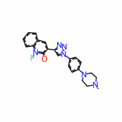 CN1CCN(c2ccc(-n3cc(-c4cc5ccccc5n(F)c4=O)nn3)cc2)CC1